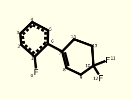 Fc1ccccc1C1=CCC(F)(F)CC1